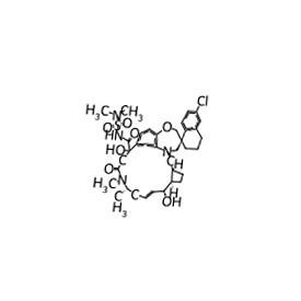 C[C@H]1C/C=C/[C@H](O)[C@@H]2CC[C@H]2CN2C[C@@]3(CCCc4cc(Cl)ccc43)COc3ccc(cc32)[C@@](O)(C(=O)NS(=O)(=O)N(C)C)CC(=O)N1C